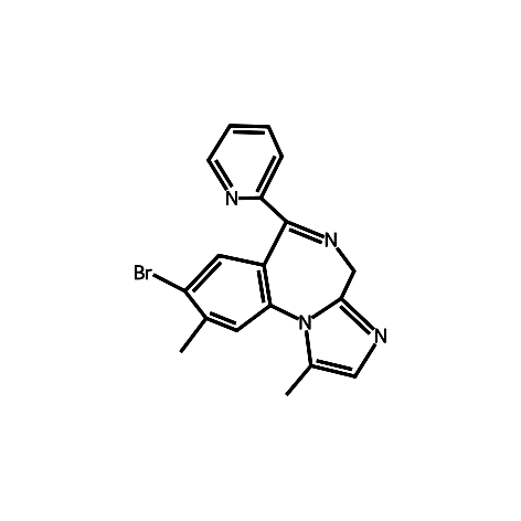 Cc1cc2c(cc1Br)C(c1ccccn1)=NCc1ncc(C)n1-2